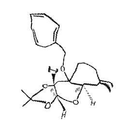 C=C1CCC2(OCc3ccccc3)[C@@H]1O[C@@H]1OC(C)(C)O[C@@H]12